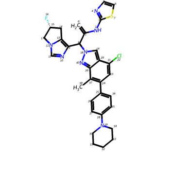 C=C(Nc1nccs1)C(c1ncn2c1C[C@@H](F)C2)n1cc2c(Cl)cc(-c3ccc(N4CCCCC4)cc3)c(C)c2n1